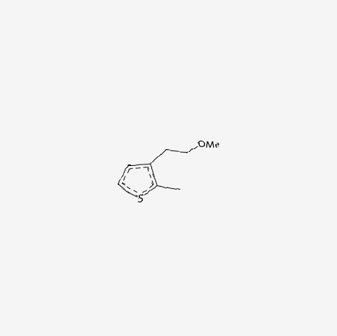 COCCc1ccsc1C